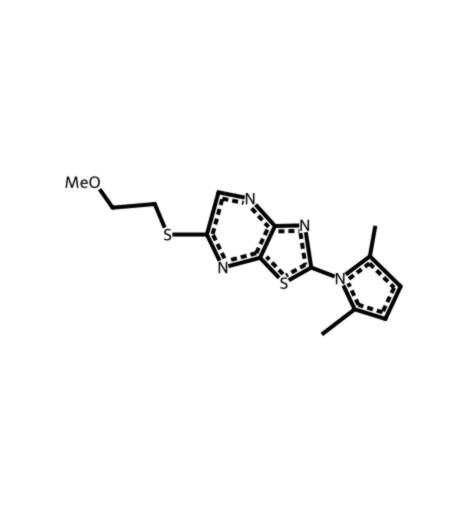 COCCSc1cnc2nc(-n3c(C)ccc3C)sc2n1